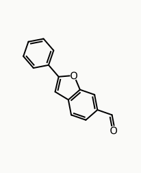 O=Cc1ccc2cc(-c3ccccc3)oc2c1